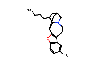 CCCCC1CC2CC3c4oc5ccc(C)cc5c4CCN(C2)C13